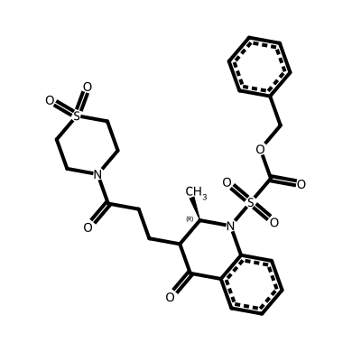 C[C@@H]1C(CCC(=O)N2CCS(=O)(=O)CC2)C(=O)c2ccccc2N1S(=O)(=O)C(=O)OCc1ccccc1